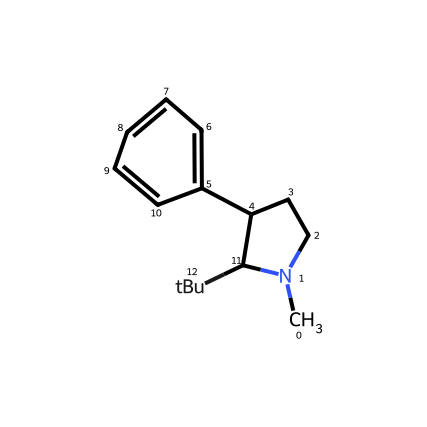 CN1CCC(c2ccccc2)C1C(C)(C)C